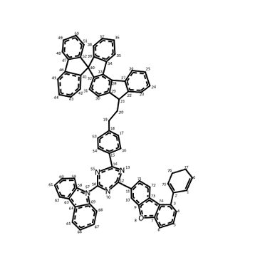 C1=CC(c2cccc3oc4cc(-c5nc(-c6ccc(CCC7c8ccccc8-c8c7ccc7c8-c8ccccc8C78c7ccccc7-c7ccccc78)cc6)nc(-n6c7ccccc7c7ccccc76)n5)ccc4c23)=CCC1